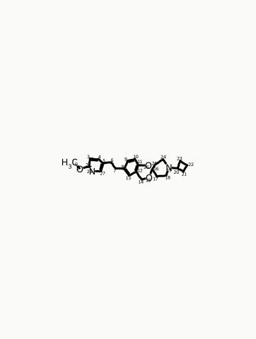 COc1ccc(CCc2ccc3c(c2)COC2(CCN(C4CCC4)CC2)O3)cn1